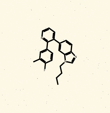 CCCCn1cnc2ccc(-c3cccnc3-c3ccc(F)c(C)c3)cc21